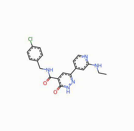 CCNc1cc(-c2cc(C(=O)NCc3ccc(Cl)cc3)c(=O)[nH]n2)ccn1